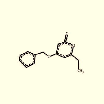 CCc1cc(OCc2ccccc2)cc(=O)o1